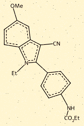 CCOC(=O)Nc1ccc(-c2c(C#N)c3cc(OC)ccc3n2CC)cc1